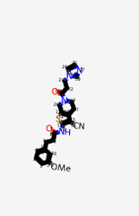 COc1cccc(CCC(=O)Nc2sc3c(c2C#N)CCN(C(=O)CCn2ccnc2)C3)c1